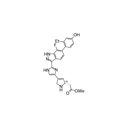 CCc1cc(O)ccc1-c1ccc2c(-c3nc(C4=C[C@H](CC(=O)OC)NC4)c[nH]3)n[nH]c2c1F